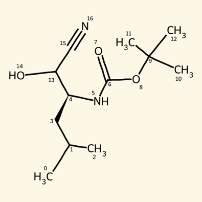 CC(C)C[C@H](NC(=O)OC(C)(C)C)C(O)C#N